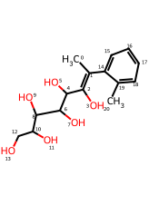 CC(=C(O)C(O)C(O)C(O)C(O)CO)c1ccccc1C